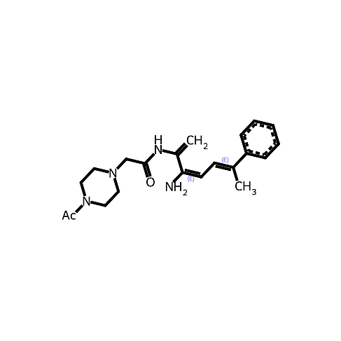 C=C(NC(=O)CN1CCN(C(C)=O)CC1)/C(N)=C\C=C(/C)c1ccccc1